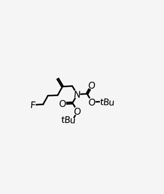 C=C(CCCF)CN(C(=O)OC(C)(C)C)C(=O)OC(C)(C)C